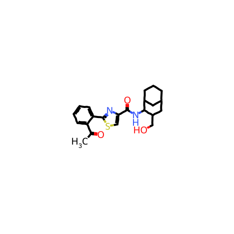 CC(=O)c1ccccc1-c1nc(C(=O)NC2C(CO)CC3CCCC2C3)cs1